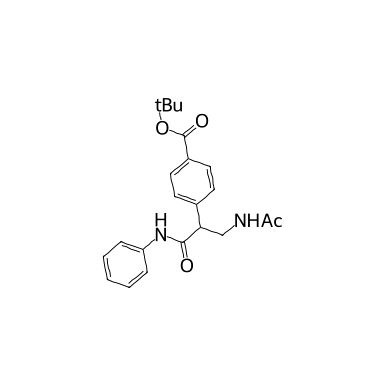 CC(=O)NCC(C(=O)Nc1ccccc1)c1ccc(C(=O)OC(C)(C)C)cc1